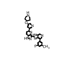 Cc1cc(F)cc(-c2cncc3[nH]c(-c4n[nH]c5ccc(-c6cncc(OC7CCNCC7)c6)nc45)nc23)c1